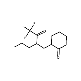 CCCC(CC1CCCCC1=O)C(=O)C(F)(F)F